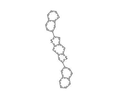 c1ccc2cc(-c3cc4cc5sc(-c6ccc7ccccc7c6)cc5cc4s3)ccc2c1